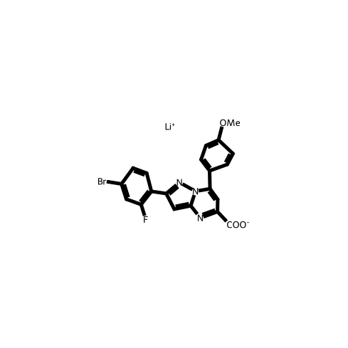 COc1ccc(-c2cc(C(=O)[O-])nc3cc(-c4ccc(Br)cc4F)nn23)cc1.[Li+]